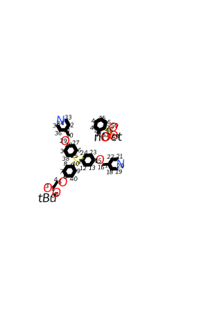 CC(C)(C)OC(=O)COc1ccc([S+](c2ccc(OCc3ccncc3)cc2)c2ccc(OCc3ccncc3)cc2)cc1.CCCCCCCCc1ccccc1S(=O)(=O)[O-]